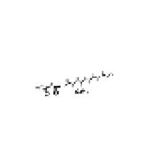 CCCCCCCCCCCCOC(=O)CC(=O)O.[BaH2]